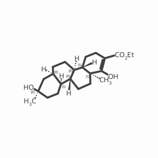 CCOC(=O)C1=C(O)[C@@]2(C)CC[C@H]3[C@@H](CC[C@@H]4C[C@](C)(O)CC[C@@H]43)[C@@H]2CC1